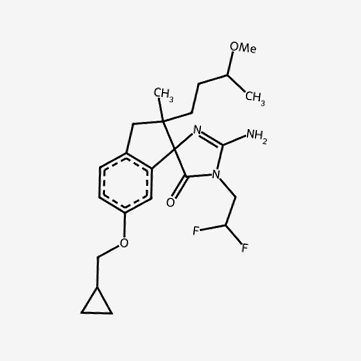 COC(C)CCC1(C)Cc2ccc(OCC3CC3)cc2C12N=C(N)N(CC(F)F)C2=O